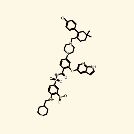 CC1(C)CCC(CN2CCN(c3ccc(C(=O)NS(=O)(=O)c4ccc(NCC5CCSCC5)c([N+](=O)[O-])c4)c(Oc4cnc5[nH]ccc5c4)c3)CC2)=C(c2ccc(Cl)cc2)C1